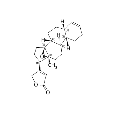 C[C@]12CC[C@@H]3[C@H]4CCC=C[C@H]4CC[C@H]3[C@@]1(O)CC[C@@H]2C1=CC(=O)OC1